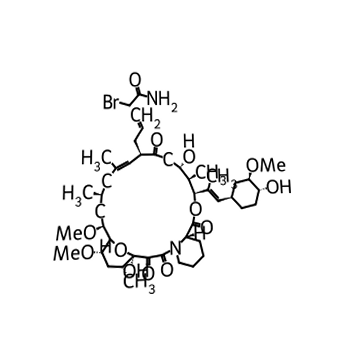 C=CC[C@@H]1/C=C(\C)C[C@H](C)C[C@H](OC)[C@H]2O[C@@](O)(C(=O)C(=O)N3CCCC[C@H]3C(=O)O[C@H](/C(C)=C/[C@@H]3CC[C@@H](O)[C@H](OC)C3)[C@H](C)[C@@H](O)CC1=O)[C@H](C)C[C@@H]2OC.NC(=O)CBr